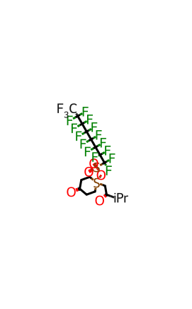 CC(C)C(=O)CS1(OS(=O)(=O)C(F)(F)C(F)(F)C(F)(F)C(F)(F)C(F)(F)C(F)(F)C(F)(F)C(F)(F)F)CCC(=O)CC1